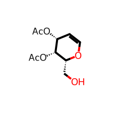 CC(=O)O[C@@H]1[C@H](OC(C)=O)C=CO[C@@H]1CO